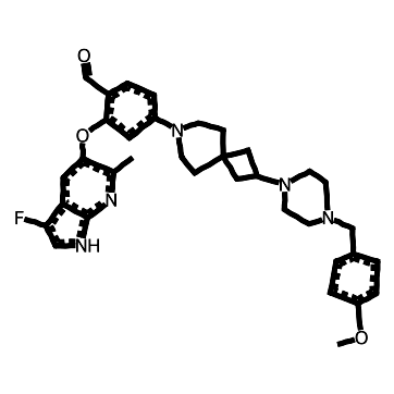 COc1ccc(CN2CCN(C3CC4(CCN(c5ccc(C=O)c(Oc6cc7c(F)c[nH]c7nc6C)c5)CC4)C3)CC2)cc1